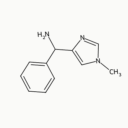 Cn1cnc(C(N)c2ccccc2)c1